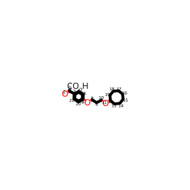 O=C(O)C(=O)c1ccc(OCCCOC2CCCCCCC2)cc1